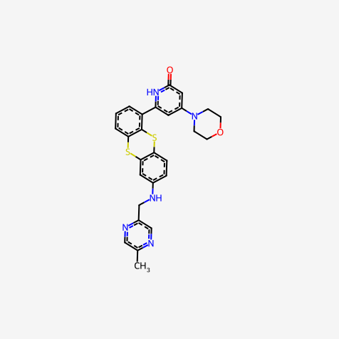 Cc1cnc(CNc2ccc3c(c2)Sc2cccc(-c4cc(N5CCOCC5)cc(=O)[nH]4)c2S3)cn1